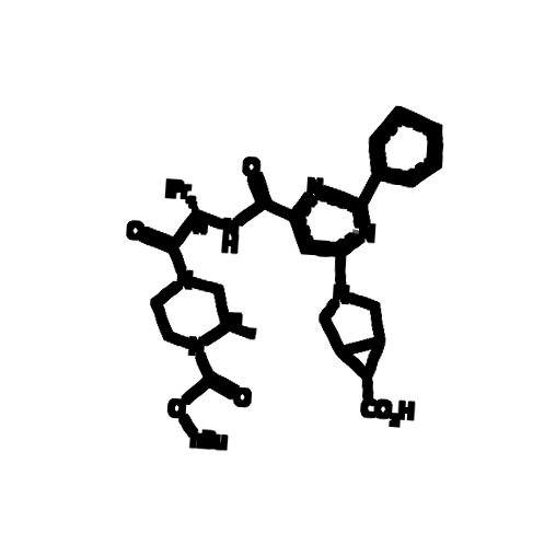 CCCCOC(=O)N1CCN(C(=O)[C@@H](NC(=O)c2cc(N3CC4C(C3)C4C(=O)O)nc(-c3ccccc3)n2)C(C)C)C[C@H]1C